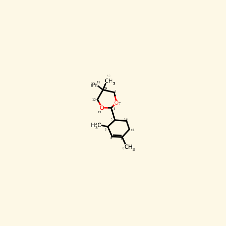 CC1=CC(C)C(C2OCC(C)(C(C)C)CO2)CC1